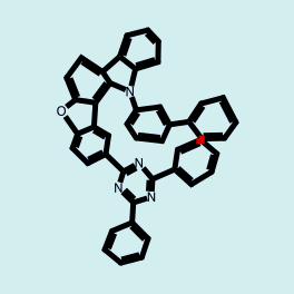 c1ccc(-c2cccc(-n3c4ccccc4c4ccc5oc6ccc(-c7nc(-c8ccccc8)nc(-c8ccccc8)n7)cc6c5c43)c2)cc1